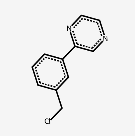 ClCc1cccc(-c2cnccn2)c1